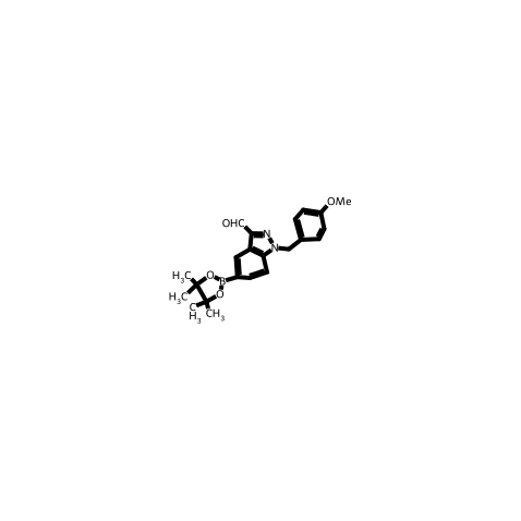 COc1ccc(Cn2nc(C=O)c3cc(B4OC(C)(C)C(C)(C)O4)ccc32)cc1